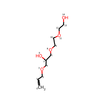 C=CCOCC(O)COCCOCCO